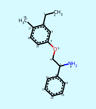 CCc1cc(OCC(N)c2ccccc2)ccc1C